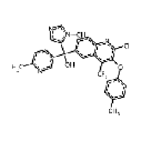 Cc1ccc(Oc2c(Cl)nc3ccc(C(O)(c4ccc(C)nc4)c4cncn4C)cc3c2C(F)(F)F)cc1